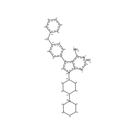 Cl.Nc1ncnc2c1c(-c1ccc(Oc3ccccc3)cc1)cn2C1CCC(N2CCCCC2)CC1